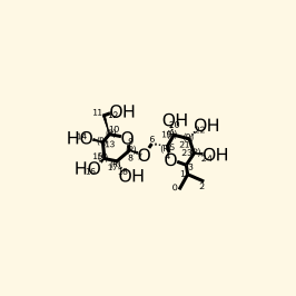 CC(C)C1O[C@H](CO[C@@H]2O[C@H](CO)[C@H](O)[C@H](O)[C@H]2O)[C@H](O)[C@H](O)[C@H]1O